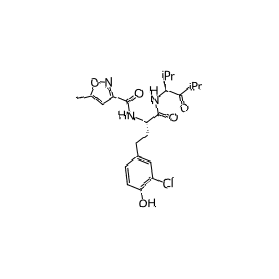 Cc1cc(C(=O)N[C@@H](CCc2ccc(O)c(Cl)c2)C(=O)N[C@H](C(=O)C(C)C)C(C)C)no1